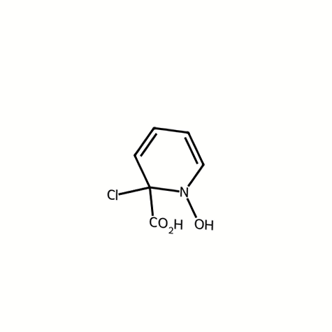 O=C(O)C1(Cl)C=CC=CN1O